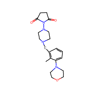 Cc1c(CN2CCN(N3C(=O)CCC3=O)CC2)cccc1N1CCOCC1